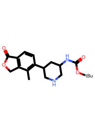 Cc1c(C2CNCC(NC(=O)OC(C)(C)C)C2)ccc2c1COC2=O